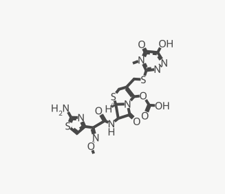 CON=C(C(=O)NC1C(=O)N2C(OC(=O)O)=C(CSc3nnc(O)c(=O)n3C)CS[C@@H]12)c1csc(N)n1